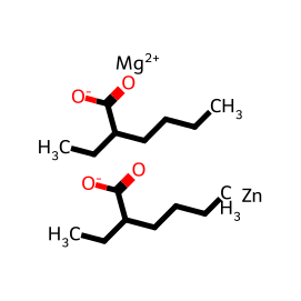 CCCCC(CC)C(=O)[O-].CCCCC(CC)C(=O)[O-].[Mg+2].[Zn]